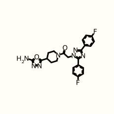 Nc1nnc(C2CCN(C(=O)Cn3nc(-c4ccc(F)cc4)nc3-c3ccc(F)cc3)CC2)o1